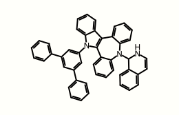 C1=Cc2ccccc2C(N2c3ccccc3-c3c(n(-c4cc(-c5ccccc5)cc(-c5ccccc5)c4)c4ccccc34)-c3ccccc32)N1